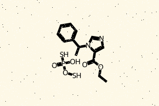 CCOC(=O)c1cncn1C(C)c1ccccc1.O=P(O)(S)OS